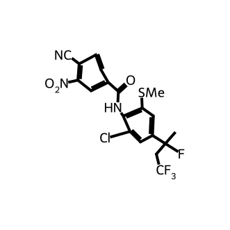 CSc1cc(C(C)(F)CC(F)(F)F)cc(Cl)c1NC(=O)c1ccc(C#N)c([N+](=O)[O-])c1